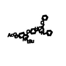 CC(=O)OOc1ccc2c(Oc3ccc(CCN(Cc4ccccc4)C[C@H](O)COc4ccccc4)cc3)cc(C(C)(C)C)nc2c1